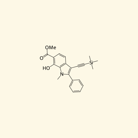 COC(=O)c1ccc2c(C#C[Si](C)(C)C)c(-c3ccccc3)n(C)c2c1O